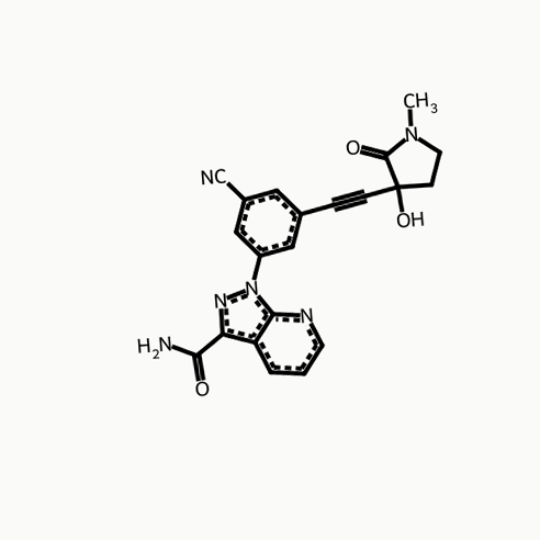 CN1CCC(O)(C#Cc2cc(C#N)cc(-n3nc(C(N)=O)c4cccnc43)c2)C1=O